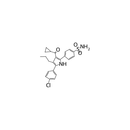 CCCc1c(-c2ccc(Cl)cc2)[nH]c(-c2ccc(S(N)(=O)=O)cc2)c1C(=O)C1CC1